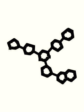 c1ccc(-c2ccc(-c3cc(-c4ccc(-c5cccnc5)cc4)nc(-c4cccc(-c5ccc6ccccc6c5)c4)n3)cc2)cc#1